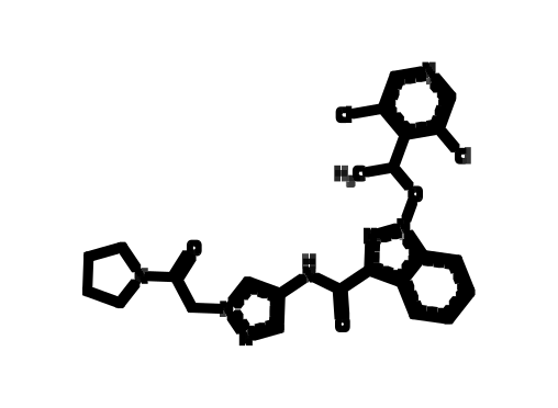 CC(On1nc(C(=O)Nc2cnn(CC(=O)N3CCCC3)c2)c2ccccc21)c1c(Cl)cncc1Cl